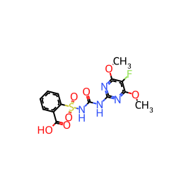 COc1nc(NC(=O)NS(=O)(=O)c2ccccc2C(=O)O)nc(OC)c1F